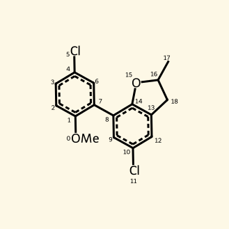 COc1ccc(Cl)cc1-c1cc(Cl)cc2c1OC(C)C2